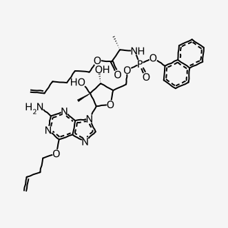 C=CCCCCOC(=O)[C@H](C)NP(=O)(OCC1OC(n2cnc3c(OCCC=C)nc(N)nc32)[C@](C)(O)[C@@H]1O)Oc1cccc2ccccc12